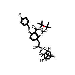 COc1ccc(CSc2ccc(CC(Cl)B3O[C@@H]4C[C@@H]5C[C@@H](C5(C)C)[C@]4(C)O3)c(OC(=O)OC(C)(C)C)c2C(=O)OC(C)(C)C)cc1